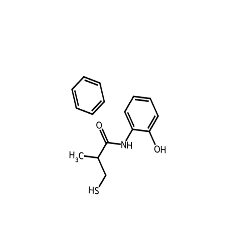 CC(CS)C(=O)Nc1ccccc1O.c1ccccc1